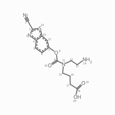 N#Cc1nc2ccc(OC(=O)N(CCN)CCCC(=O)O)cc2s1